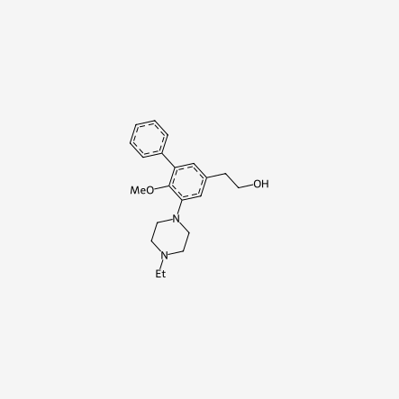 CCN1CCN(c2cc(CCO)cc(-c3ccccc3)c2OC)CC1